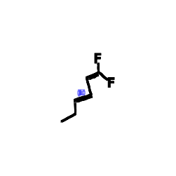 CC/C=C/C=C(F)F